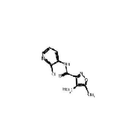 Cc1onc(C(=O)Nc2cccnc2Cl)c1C(=O)O